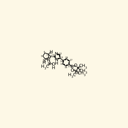 CB(O)N1[C@@H]2CC[C@@H](C2)[C@H]1c1ncc(-c2ccc(B3OC(C)(C)C(C)(C)O3)cc2)[nH]1